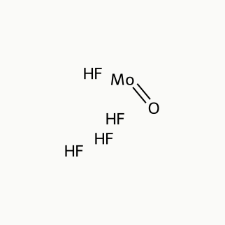 F.F.F.F.[O]=[Mo]